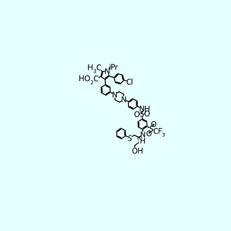 Cc1c(C(=O)O)c(-c2cccc(N3CCN(c4ccc(NS(=O)(=O)c5ccc(N[C@H](CCO)CSc6ccccc6)c(S(=O)(=O)C(F)(F)F)c5)cc4)CC3)c2)c(-c2ccc(Cl)cc2)n1C(C)C